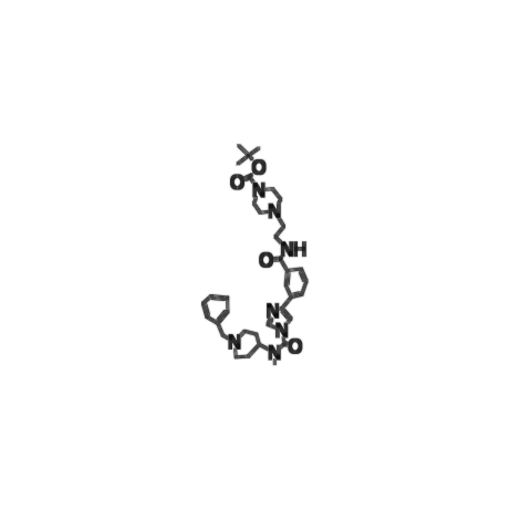 CN(C(=O)n1cnc(-c2cccc(C(=O)NCCN3CCN(C(=O)OC(C)(C)C)CC3)c2)c1)C1CCN(Cc2ccccc2)CC1